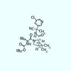 CC(C)(C)OC(=O)N[C@H](C(=O)N1C[C@H]2[C@@H]([C@H]1C(=O)NC(C)(C#N)c1cncc(Cl)c1)C2(C)C)C(C)(C)C